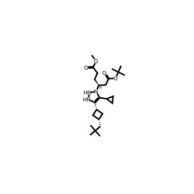 COC(=O)CC[C@@H](CC(=O)OC(C)(C)C)N1NNC([C@H]2C[C@@H](CC(C)(C)C)C2)=C1C1CC1